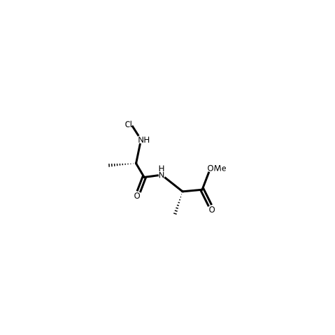 COC(=O)[C@H](C)NC(=O)[C@H](C)NCl